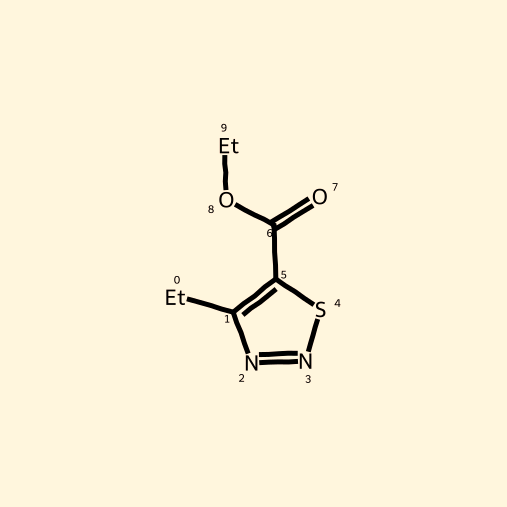 [CH2]Cc1nnsc1C(=O)OCC